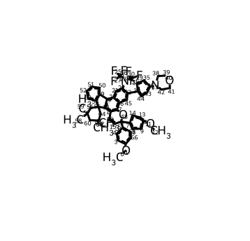 COc1ccc(C2(c3ccc(OC)cc3)C=Cc3c4c(c5cc(N(C(F)(F)F)C(F)(F)F)c(-c6ccc(N7CCOCC7)cc6)cc5c3O2)-c2ccccc2C42CC(C)(C)CC(C)(C)C2)cc1